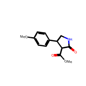 COC(=O)C1C(=O)NCC1c1ccc(OC)cc1